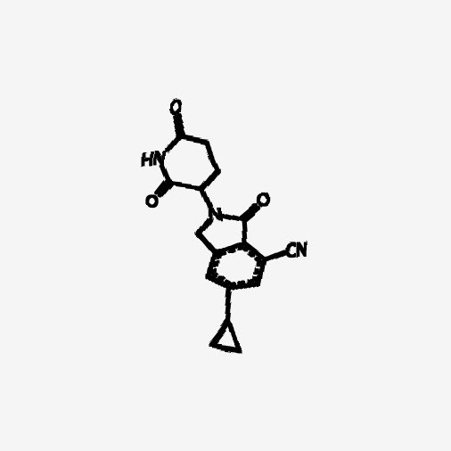 N#Cc1cc(C2CC2)cc2c1C(=O)N(C1CCC(=O)NC1=O)C2